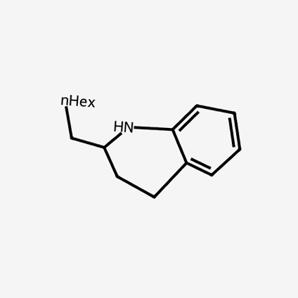 CCCCCCCC1CCc2ccccc2N1